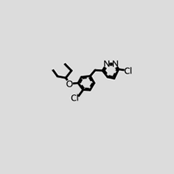 CCC(CC)Oc1cc(Cc2ccc(Cl)nn2)ccc1Cl